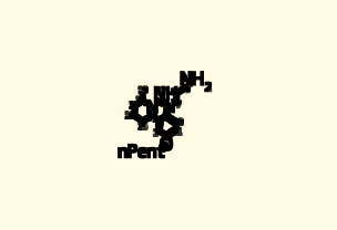 CCCCCOc1ccc(N(CCCN)C(=N)N2CCCCC2C)cc1